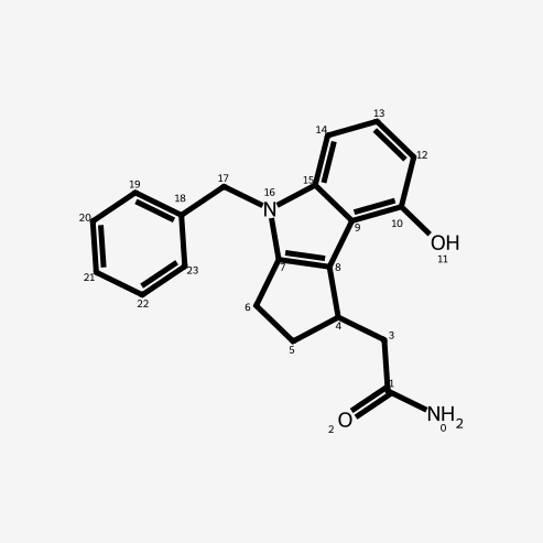 NC(=O)CC1CCc2c1c1c(O)cccc1n2Cc1ccccc1